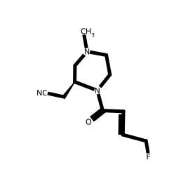 CN1CCN(C(=O)/C=C/CF)[C@@H](CC#N)C1